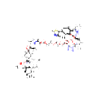 Cc1cc(C)c(/C(C(=O)O)=C(\O)C2CCC(OC3CCN(CCOCCOCCOCC(=O)NC(C(=O)N4CCCC4C(=O)NC(C)c4ccc(-c5scnc5C)cc4)C(C)(C)C)CC3)CC2)c(C)c1